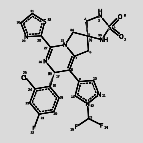 O=S1(=O)NC[C@@]2(CC3=C(c4cnn(C(F)F)c4)[C@H](c4ccc(F)cc4Cl)N=C(c4nccs4)N3C2)N1